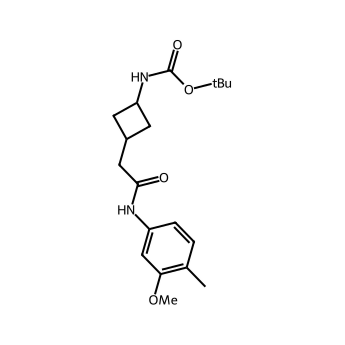 COc1cc(NC(=O)CC2CC(NC(=O)OC(C)(C)C)C2)ccc1C